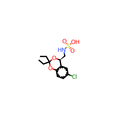 CCC1(CC)Oc2ccc(Cl)cc2[C@H](CNS(=O)(=O)O)O1